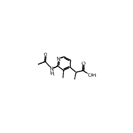 CC(=O)Nc1nccc(C(C)C(=O)O)c1C